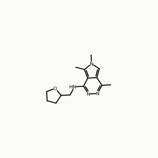 Cc1nnc(NCC2CCCO2)c2c(C)n(C)cc12